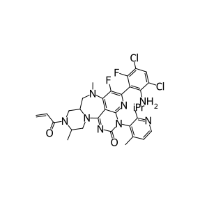 C=CC(=O)N1CC2CN(C)c3c(F)c(-c4c(N)c(Cl)cc(Cl)c4F)nc4c3c(nc(=O)n4-c3c(C)ccnc3C(C)C)N2CC1C